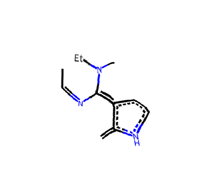 C=c1[nH]cc/c1=C(/N=C\C)N(C)CC